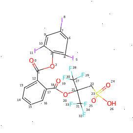 O=C(Oc1c(I)cc(I)cc1I)c1ccccc1C(=O)OC(CS(=O)(=O)O)(C(F)(F)F)C(F)(F)F